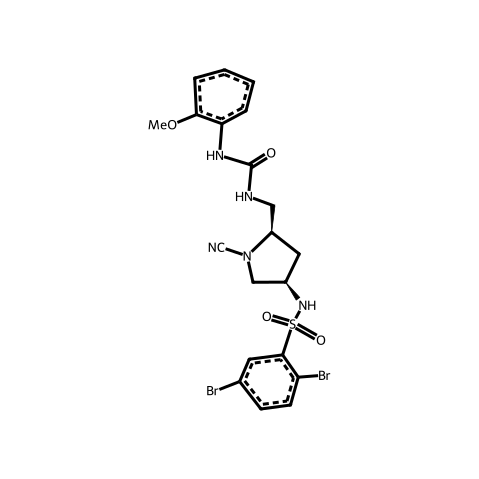 COc1ccccc1NC(=O)NC[C@H]1C[C@@H](NS(=O)(=O)c2cc(Br)ccc2Br)CN1C#N